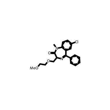 COCCOCC1N=C(c2ccccc2)c2cc(Cl)ccc2N(C)C1=O